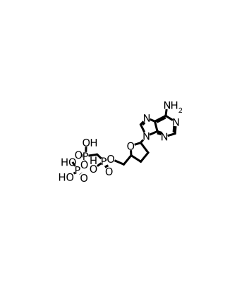 Nc1ncnc2c1ncn2C1CCC(COP(=O)(O)CP(=O)(O)OP(=O)(O)O)O1